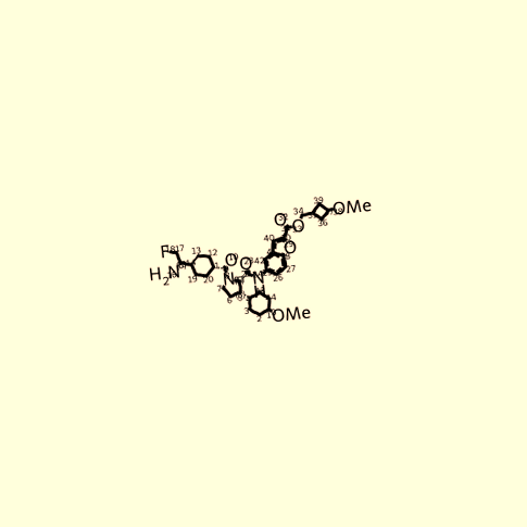 COC1CCC([C@@H]2CCN(C(=O)[C@H]3CC[C@H]([C@H](N)CF)CC3)[C@@H]2C(=O)Nc2ccc3oc(C(=O)OCC4CC(OC)C4)cc3c2)CC1